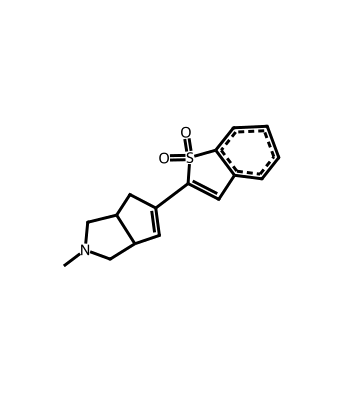 CN1CC2C=C(C3=Cc4ccccc4S3(=O)=O)CC2C1